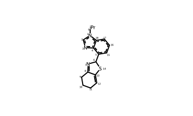 CC(C)n1cnc2c(C3N=C4CCCC=C4S3)cccc21